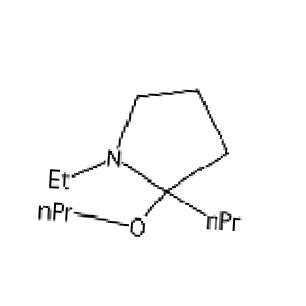 CCCOC1(CCC)CCCN1CC